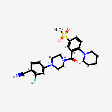 CS(=O)(=O)c1ccc(N2CCCCC2)c(C(=O)N2CCN(c3ccc(C#N)c(F)c3)CC2)c1